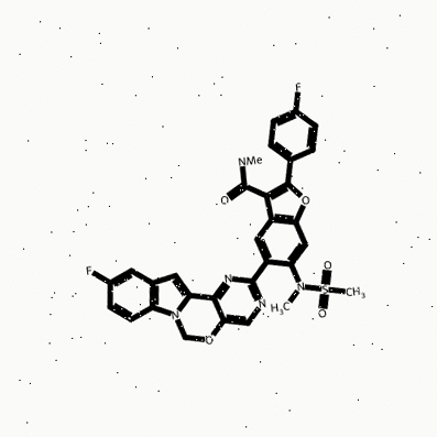 CNC(=O)c1c(-c2ccc(F)cc2)oc2cc(N(C)S(C)(=O)=O)c(-c3ncc4c(n3)-c3cc5cc(F)ccc5n3CO4)cc12